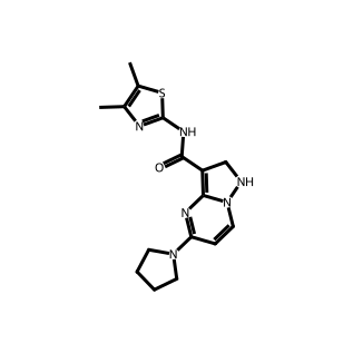 Cc1nc(NC(=O)C2=C3N=C(N4CCCC4)C=CN3NC2)sc1C